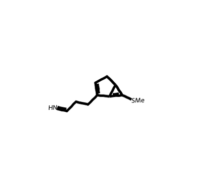 CSC1=C2C(CCC=N)=CCC12